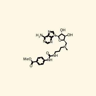 COC(=O)c1ccc(NC(=O)NCCCN(C)C[C@H]2O[C@@H](n3cnc4c(N)ncnc43)[C@H](O)[C@H]2O)cc1